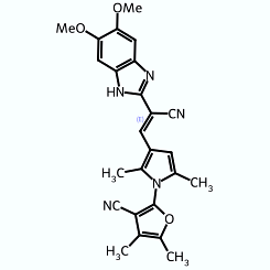 COc1cc2nc(/C(C#N)=C/c3cc(C)n(-c4oc(C)c(C)c4C#N)c3C)[nH]c2cc1OC